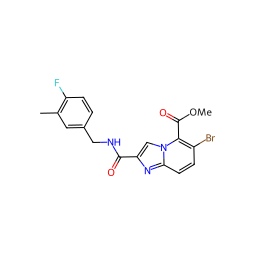 COC(=O)c1c(Br)ccc2nc(C(=O)NCc3ccc(F)c(C)c3)cn12